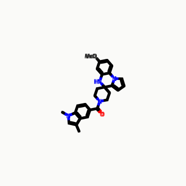 COc1ccc2c(c1)NC1(CCN(C(=O)c3ccc4c(c3)c(C)cn4C)CC1)c1cccn1-2